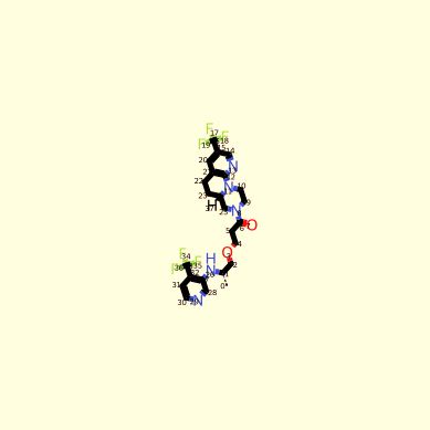 C[C@@H](COCCC(=O)N1CCN2c3ncc(C(F)(F)F)cc3CC[C@H]2C1)Nc1cnccc1C(F)(F)F